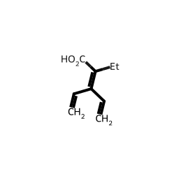 C=CC(C=C)=C(CC)C(=O)O